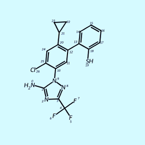 Nc1nc(C(F)(F)F)nn1-c1cc(-c2ccccc2S)c(C2CC2)cc1Cl